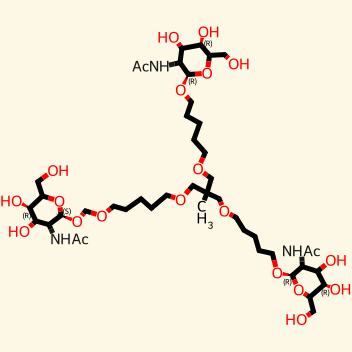 CC(=O)NC1C(O)[C@@H](O)C(CO)O[C@H]1OCCCCCOCC(C)(COCCCCCOCO[C@@H]1OC(CO)[C@H](O)C(O)C1NC(C)=O)COCCCCCO[C@@H]1OC(CO)[C@H](O)C(O)C1NC(C)=O